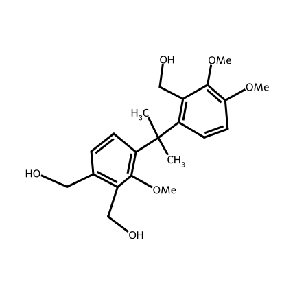 COc1ccc(C(C)(C)c2ccc(CO)c(CO)c2OC)c(CO)c1OC